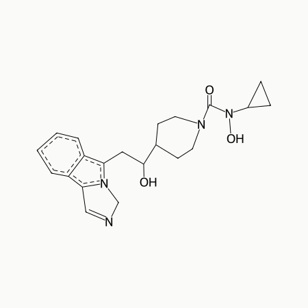 O=C(N1CCC(C(O)Cc2c3ccccc3c3n2CN=C3)CC1)N(O)C1CC1